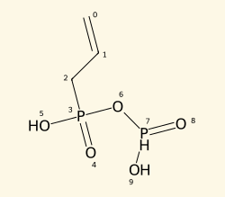 C=CCP(=O)(O)O[PH](=O)O